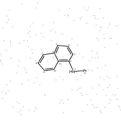 CC(C)Nc1cccc2[c]cccc12